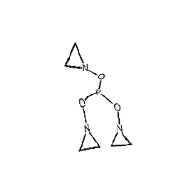 C1CN1OP(ON1CC1)ON1CC1